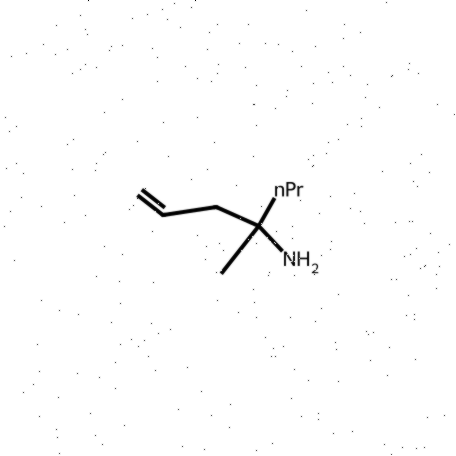 C=CCC(C)(N)CCC